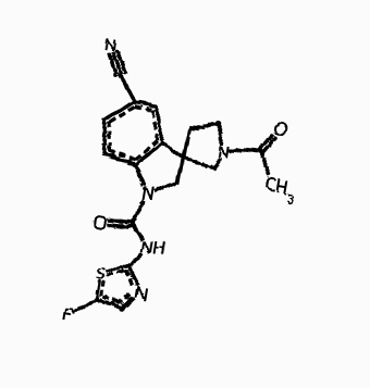 CC(=O)N1CCC2(C1)CN(C(=O)Nc1ncc(F)s1)c1ccc(C#N)cc12